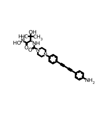 CC(C)(O)[C@H](NC(=O)N1CCN(c2ccc(C#CC#Cc3ccc(N)cc3)cc2)CC1)C(=O)NO